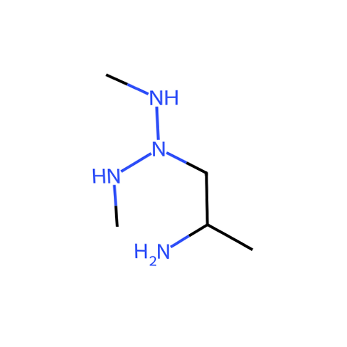 CNN(CC(C)N)NC